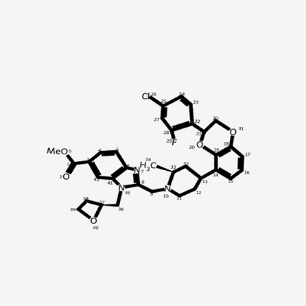 COC(=O)c1ccc2nc(CN3CCC(c4cccc5c4OC(c4ccc(Cl)cc4F)CO5)C[C@@H]3C)n(C[C@@H]3CCO3)c2c1